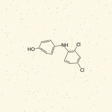 Oc1ccc(Nc2ccc(Cl)cc2Cl)cc1